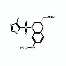 CC(=O)NC[C@H]1CN(S(=O)(=O)c2scnc2C)c2cc(NC(=O)O)ccc2O1